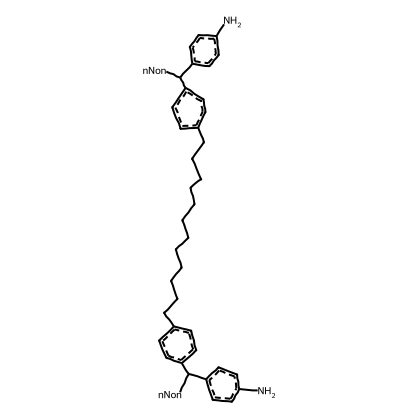 CCCCCCCCCC(c1ccc(N)cc1)c1ccc(CCCCCCCCCCCCc2ccc(C(CCCCCCCCC)c3ccc(N)cc3)cc2)cc1